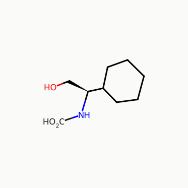 O=C(O)N[C@@H](CO)C1CCCCC1